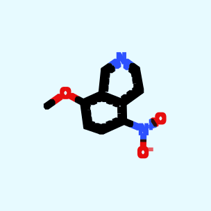 COc1ccc([N+](=O)[O-])c2ccncc12